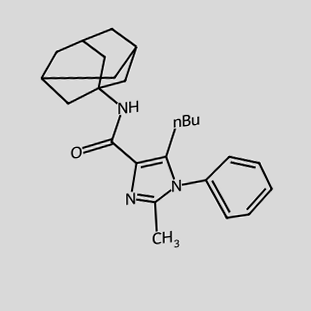 CCCCc1c(C(=O)NC23CC4CC(CC(C4)C2)C3)nc(C)n1-c1ccccc1